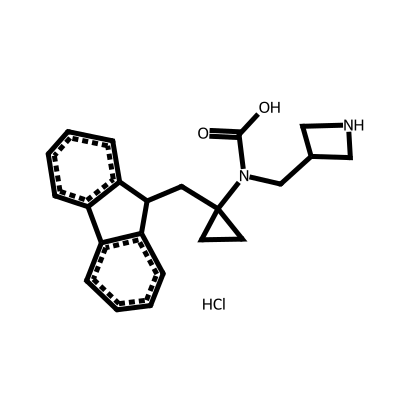 Cl.O=C(O)N(CC1CNC1)C1(CC2c3ccccc3-c3ccccc32)CC1